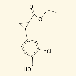 CCOC(=O)C1CC1c1ccc(CO)c(Cl)c1